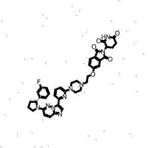 O=C1CCC(N2C(=O)c3ccc(OCCN4CCN(c5cccc(-c6cnc7ccc(N8CCC[C@@H]8c8cccc(F)c8)nn67)n5)CC4)cc3C2=O)C(=O)N1